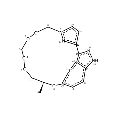 C[C@H]1COCCOCCn2ccc(n2)-c2n[nH]c3ccc(cc23)O1